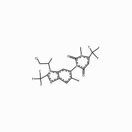 CC(CCl)n1c(C(F)(F)F)nc2cc(F)c(-n3c(=O)cc(C(F)(F)F)n(C)c3=O)cc21